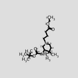 CCOC(=O)CCCN1CCC(C)(C)C(NC(=O)OC(C)(C)C)C1